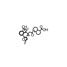 Cn1nc(C2(CC(=O)N3CCCC4C(C(=O)O)CCCC43)CC2)c2c(-c3ccc(F)o3)cccc21